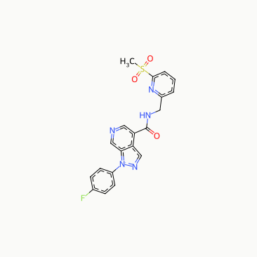 CS(=O)(=O)c1cccc(CNC(=O)c2cncc3c2cnn3-c2ccc(F)cc2)n1